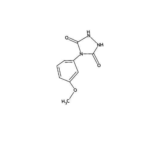 COc1cccc(-n2c(=O)[nH][nH]c2=O)c1